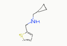 [c]1ccc(CNCC2CC2)s1